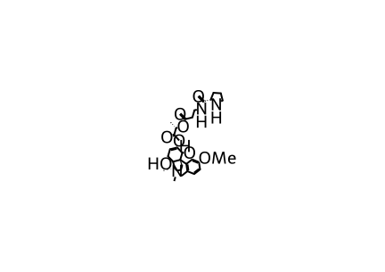 COc1ccc(C)c2c1O[C@H]1C(OC(=O)[C@H](C)OC(=O)CCNC(=O)[C@@H]3CCCN3)=CC[C@@]3(O)[C@@H](C)N(C)CC[C@]213